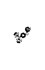 c1csc(N(c2ccc(OC3CN4CCC3CC4)cc2)c2nccs2)n1